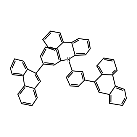 c1ccc(-c2ccccc2N(c2cccc(-c3cc4ccccc4c4ccccc34)c2)c2cccc(-c3cc4ccccc4c4ccccc34)c2)cc1